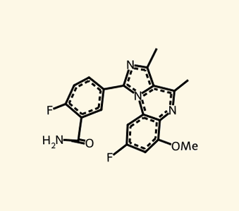 COc1cc(F)cc2c1nc(C)c1c(C)nc(-c3ccc(F)c(C(N)=O)c3)n12